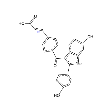 O=C(O)/C=C/c1ccc(C(=O)c2c(-c3ccc(O)cc3)[se]c3cc(O)ccc23)cc1